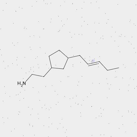 CC/C=C/CC1CCC(CCN)C1